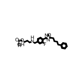 O=[PH](O)OCCCNCc1ccc(-c2noc(CCCCc3ccccc3)n2)c(F)c1